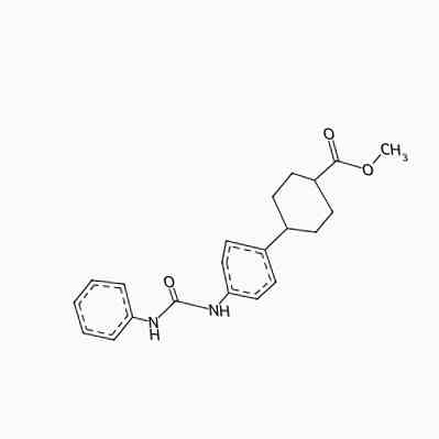 COC(=O)C1CCC(c2ccc(NC(=O)Nc3ccccc3)cc2)CC1